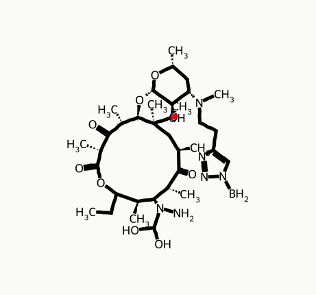 Bn1cc(CCN(C)[C@H]2C[C@@H](C)O[C@@H](O[C@@H]3[C@@H](C)C(=O)[C@@H](C)C(=O)OC(CC)[C@H](C)[C@H](N(N)C(O)O)[C@@H](C)C(=O)[C@H](C)C[C@]3(C)OC)[C@@H]2O)nn1